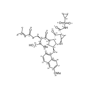 CC[C@@H]1C[C@]1(C(=O)NS(=O)(=O)C1CC1)C(=O)[C@@H]1C[C@@H](Oc2nccc3cc(OC)ccc23)CN1C(=O)[C@H](CCC(=O)C=C(C)C)N(C(=O)O)C(C)(C)C